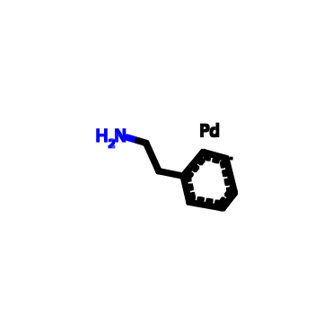 NCCc1c[c]ccc1.[Pd]